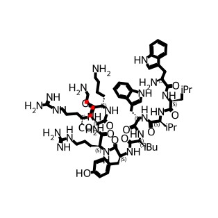 CC[C@H](C)[C@H](NC(=O)[C@H](Cc1c[nH]c2ccccc12)NC(=O)[C@@H](NC(=O)[C@H](CC(C)C)NC(=O)[C@@H](N)Cc1c[nH]c2ccccc12)C(C)C)C(=O)N[C@@H](Cc1ccc(O)cc1)C(=O)N[C@@H](CCCNC(=N)N)C(=O)N[C@@H](CCCCN)C(=O)N[C@@H](CCCCN)C(=O)N[C@@H](CCCNC(=N)N)C(=O)O